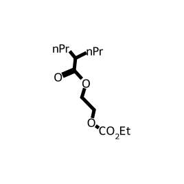 CCCC(CCC)C(=O)OCCOC(=O)OCC